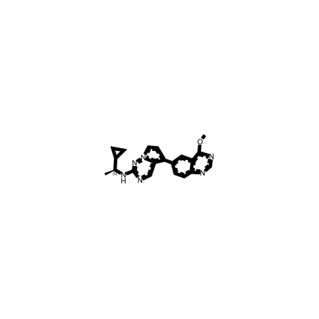 COc1ncnc2ccc(-c3ccn4nc(N[C@@H](C)C5CC5)ncc34)cc12